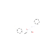 COc1ccccc1NCN1C(=O)S/C(=C/c2ccc(SC)cc2)C1=O